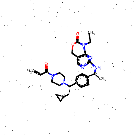 C=CC(=O)N1CCN([C@@H](CC2CC2)c2ccc([C@H](C)Nc3ncc4c(n3)N(CC)C(=O)OC4)cc2)CC1